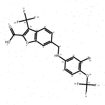 O=C(O)c1oc2cc(CNc3ccc(OC(F)(F)F)c(Br)c3)ccc2c1C(F)(F)F